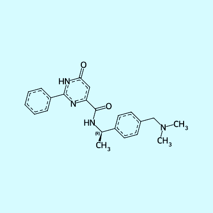 C[C@@H](NC(=O)c1cc(=O)[nH]c(-c2ccccc2)n1)c1ccc(CN(C)C)cc1